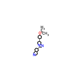 CC(C)Oc1ccc(-c2ccn3c(-c4ccc5cnccc5c4)cnc3c2)cc1